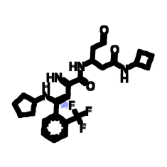 N=C(/C=C(\NC1CCCC1)c1ccccc1C(F)(F)F)C(=O)NC(CC=O)CC(=O)NC1CCC1